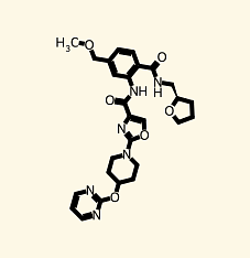 COCc1ccc(C(=O)NC[C@H]2CCCO2)c(NC(=O)c2coc(N3CCC(Oc4ncccn4)CC3)n2)c1